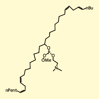 CCCC/C=C/C/C=C\CCCCCCCCC(CCCCCCCC/C=C\C/C=C\CCCCC)OP(OCCN(C)C)OOC